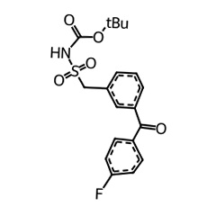 CC(C)(C)OC(=O)NS(=O)(=O)Cc1cccc(C(=O)c2ccc(F)cc2)c1